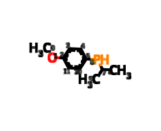 COc1ccc(PC(C)C)cc1